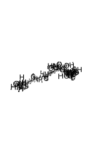 O=C(CCCCCNC(=O)CCCC[C@@H]1SC[C@@H]2NC(=O)N[C@@H]21)NC/C=C/c1cn([C@H]2C[C@H](O)[C@@H](COP(=O)(O)OP(=O)(O)OP(=O)(O)O)O2)c(=O)[nH]c1=O